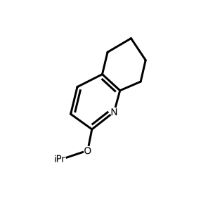 CC(C)Oc1ccc2c(n1)CCCC2